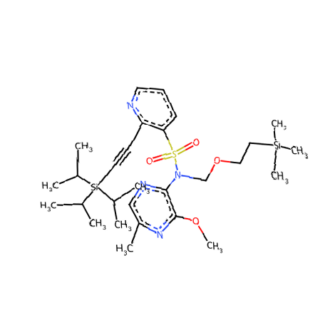 COc1nc(C)cnc1N(COCC[Si](C)(C)C)S(=O)(=O)c1cccnc1C#C[Si](C(C)C)(C(C)C)C(C)C